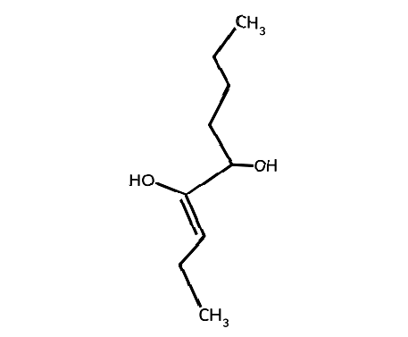 CCC=C(O)C(O)CCCC